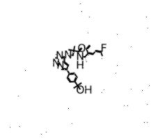 C=C/C(=C\C=C(/C)F)[C@H](C)NC(=O)C1(C)CN(c2ncnn3cc(-c4ccc(C(C)(C)O)cc4)cc23)C1